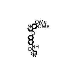 COc1cc2nccc(Oc3ccc4ccc(NC(=O)c5ccno5)cc4c3)c2cc1OC